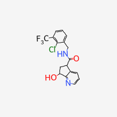 O=C(NCc1cccc(C(F)(F)F)c1Cl)C1CC(O)c2ncccc21